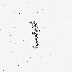 C=CC(=O)OCC(=O)NCCCCCCCC